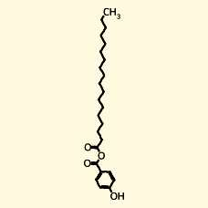 CCCCCCCCCCCCCCCCCC(=O)OC(=O)c1ccc(O)cc1